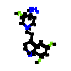 N[C@@H]1CCN(CCc2ccnc3c(F)cc(F)cc23)C[C@H]1F